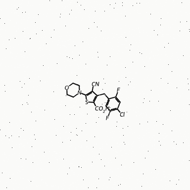 N#Cc1c(N2CCOCC2)sc(C(=O)O)c1Cc1cc(F)c(Cl)cc1F